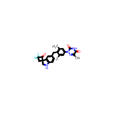 Cc1cc(-n2nc(C#N)c(=O)[nH]c2=O)cc(C)c1Cc1ccc2c(c1)C1(CN2)CC(F)(F)C1=O